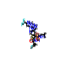 Cn1nc(C(F)F)cc1Nc1nncn1[C@H]1CCc2sc(NC(=O)[C@H]3C[C@@H]3F)c(S(=O)(=O)NCC3CC3)c2C1